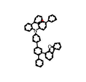 c1ccc(-c2ccc(N(c3ccc(-c4ccc(-c5ccccc5)c(-c5cccc6c5oc5ccccc56)c4)cc3)c3ccccc3-c3ccccc3)cc2)cc1